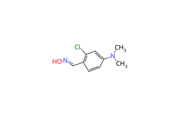 CN(C)c1ccc(C=NO)c(Cl)c1